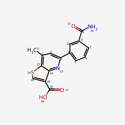 Cc1cc(-c2cccc(C(N)=O)c2)nc2c(C(=O)O)csc12